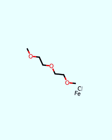 COCCOCCOC.[C].[Fe]